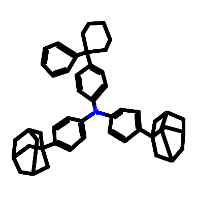 c1ccc(C2(c3ccc(N(c4ccc(C56CC7CC(CC(C7)C5)C6)cc4)c4ccc(C56CC7CC(CC(C7)C5)C6)cc4)cc3)CCCCC2)cc1